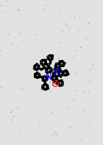 c1ccc(Cc2c3ccccc3c(Cc3ccccc3)c3cc4c(cc23)B2c3c(cc5oc6ccccc6c5c3-c3cc5ccccc5c5c6c7ccccc7ccc6n2c35)N4c2cc(-c3ccccc3)cc(-c3ccccc3)c2)cc1